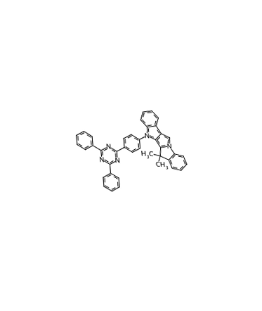 CC1(C)c2ccccc2-n2cc3c4ccccc4n(-c4ccc(-c5nc(-c6ccccc6)nc(-c6ccccc6)n5)cc4)c3c21